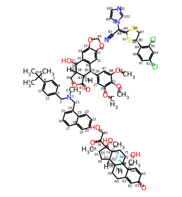 CN(Cc1ccc(C(C)(C)C)cc1)Cc1cccc2ccccc12.COc1cc([C@@H]2c3cc4c(cc3[C@H](O)[C@H]3COC(=O)[C@H]23)OCO4)cc(OC)c1OC.C[C@H]1C[C@H]2[C@@H]3CCC4=CC(=O)C=C[C@]4(C)[C@@]3(F)[C@@H](O)C[C@]2(C)[C@@]1(O)C(=O)CO.N#C/C(=C1/SC[C@@H](c2ccc(Cl)cc2Cl)S1)n1ccnc1